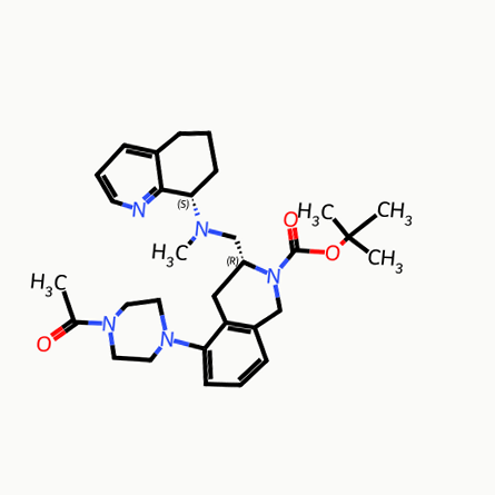 CC(=O)N1CCN(c2cccc3c2C[C@H](CN(C)[C@H]2CCCc4cccnc42)N(C(=O)OC(C)(C)C)C3)CC1